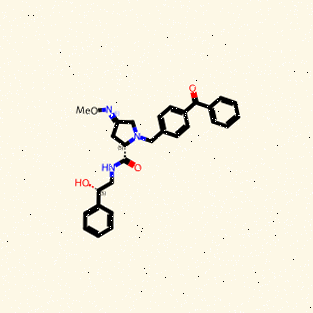 CO/N=C1\C[C@@H](C(=O)NC[C@@H](O)c2ccccc2)N(Cc2ccc(C(=O)c3ccccc3)cc2)C1